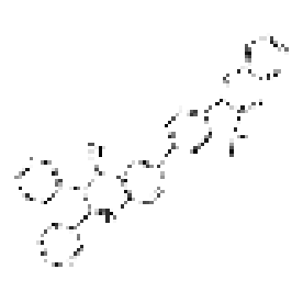 CCC1c2cc(-c3ccc4c(c3)C(C)(C)c3cc5ccccc5cc3-4)ccc2N=C(c2ccccc2)C1c1ccccc1